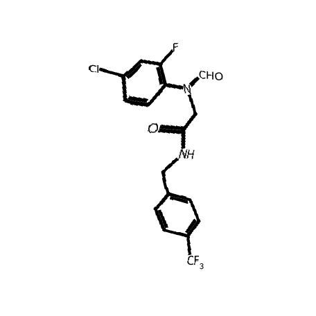 O=CN(CC(=O)NCc1ccc(C(F)(F)F)cc1)c1ccc(Cl)cc1F